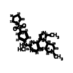 Cc1ncc(-c2nc(Nc3ccc(S(=O)(=O)N4CCCC4)cc3)ncc2F)n1C1CCN(C)CC1.Cl